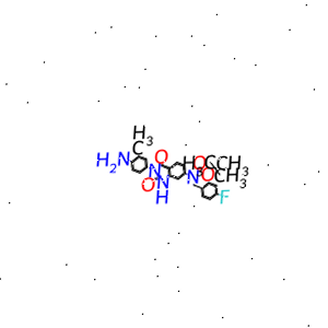 Cc1cc(-n2c(=O)[nH]c3cc(N(Cc4ccc(F)cc4)C(=O)OC(C)(C)C)ccc3c2=O)ccc1N